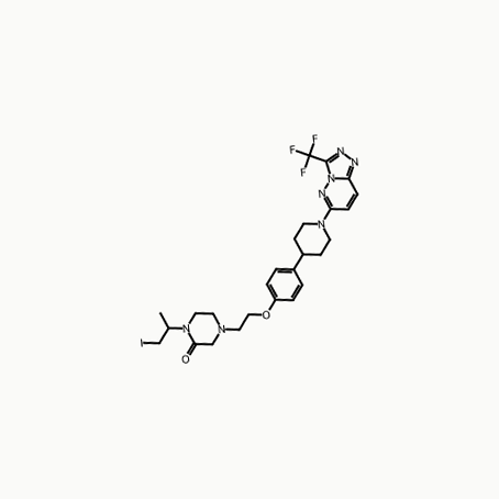 CC(CI)N1CCN(CCOc2ccc(C3CCN(c4ccc5nnc(C(F)(F)F)n5n4)CC3)cc2)CC1=O